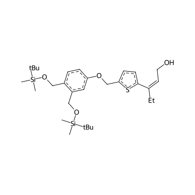 CC/C(=C/CO)c1ccc(COc2ccc(CO[Si](C)(C)C(C)(C)C)c(CO[Si](C)(C)C(C)(C)C)c2)s1